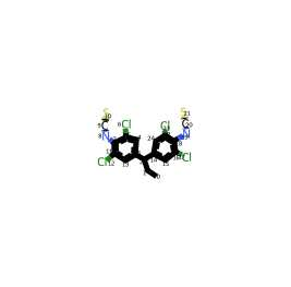 CCC(c1cc(Cl)c(N=C=S)c(Cl)c1)c1cc(Cl)c(N=C=S)c(Cl)c1